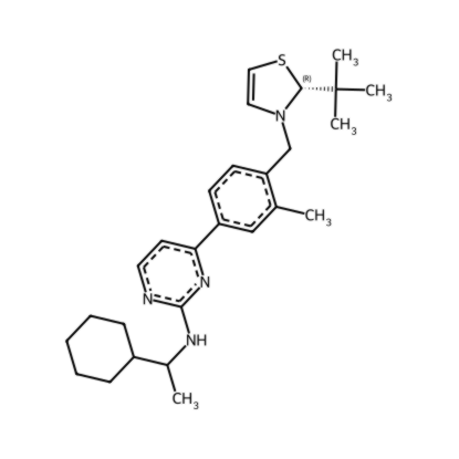 Cc1cc(-c2ccnc(NC(C)C3CCCCC3)n2)ccc1CN1C=CS[C@@H]1C(C)(C)C